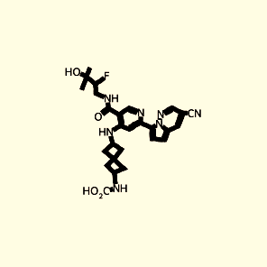 CC(C)(O)C(F)CNC(=O)c1cnc(-c2ccc3cc(C#N)cnn23)cc1NC1CC2(CC(NC(=O)O)C2)C1